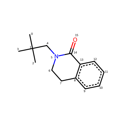 CC(C)(C)CN1CCc2ccccc2C1=O